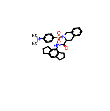 CCN(CC)c1ccc(S(=O)(=O)N2Cc3ccccc3CC2C(=O)Nc2c3c(cc4c2CCC4)CCC3)cc1